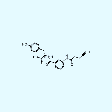 C#CCCC(=O)Nc1cccc(C(=O)N[C@@H](Cc2ccc(O)cc2)C(=O)O)c1